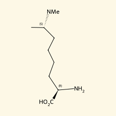 CN[C@@H](C)CCCC[C@@H](N)C(=O)O